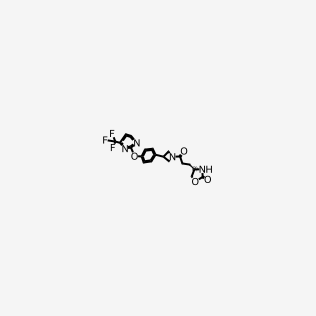 O=C1N[C@H](CCC(=O)N2CC(c3ccc(Oc4nccc(C(F)(F)F)n4)cc3)C2)CO1